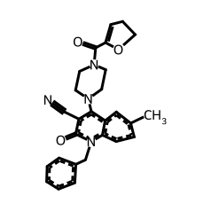 Cc1ccc2c(c1)c(N1CCN(C(=O)C3=CCCO3)CC1)c(C#N)c(=O)n2Cc1ccccc1